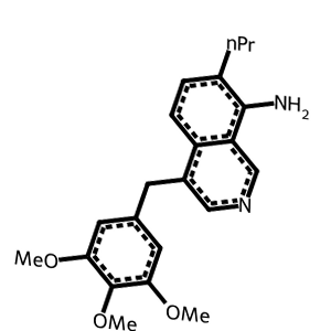 CCCc1ccc2c(Cc3cc(OC)c(OC)c(OC)c3)cncc2c1N